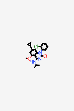 COc1cc(C2CC2)cc2c1c(NC(C)C)nc(=O)n2-c1ccccc1Cl